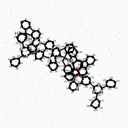 CC1(C)c2ccccc2-c2ccc3c(c21)c1ccccc1n3-c1cccnc1-c1cc(-c2nc(-c3ccccc3)nc(-c3ccccc3)n2)ccc1-n1c2ccccc2c2c3c(ccc21)-c1ccccc1C3(C)Cc1ccc2c(c1)c1c3sc4ccccc4c3ccc1n2-c1cccnc1-c1cc(-c2nc(-c3ccccc3)nc(-c3ccccc3)n2)ccc1-n1c2ccccc2c2c3sc4ccccc4c3ccc21